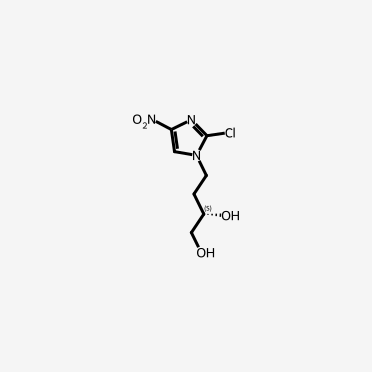 O=[N+]([O-])c1cn(CC[C@H](O)CO)c(Cl)n1